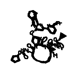 CC(C)c1cccc(-c2cc(O[C@@H]3C[C@H]4C(=O)N[C@]5(C(=O)NS(=O)(=O)C6CC6)C[C@H]5/C=C\CCCCC[C@H](NC(=O)OC5CCCC5)C(=O)N4C3)n3nc4ccccc4c3n2)n1